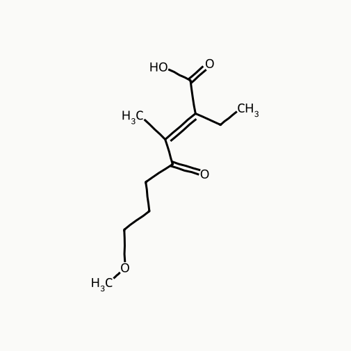 CCC(C(=O)O)=C(C)C(=O)CCCOC